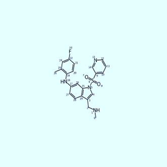 CNCc1cn(S(=O)(=O)c2cccnc2)c2cc(Nc3ccc(F)cc3C)ccc12